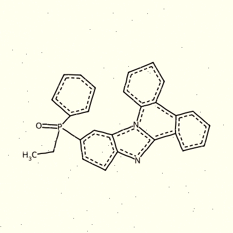 CCP(=O)(c1ccccc1)c1ccc2nc3c4ccccc4c4ccccc4n3c2c1